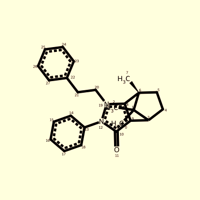 CC1(C)C2CC[C@@]1(C)c1c2c(=O)n(-c2ccccc2)n1CCc1ccccc1